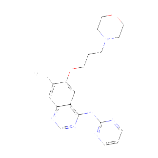 COc1cc2ncnc(Nc3ncccn3)c2cc1OCCCN1CCOCC1